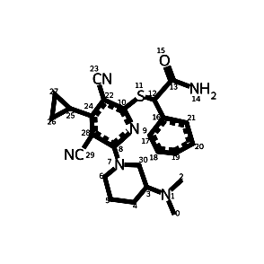 CN(C)C1CCCN(c2nc(SC(C(N)=O)c3ccccc3)c(C#N)c(C3CC3)c2C#N)C1